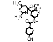 C=C1CC(C)(c2cc(NC(=O)c3ccc(C#N)cn3)cnc2C(F)(F)F)N=C(N)S1